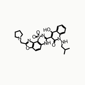 CC(C)CNn1c(=O)c(C2=NS(=O)(=O)c3c(ccc4oc(CN5CCCC5)nc34)N2)c(O)c2ccccc21